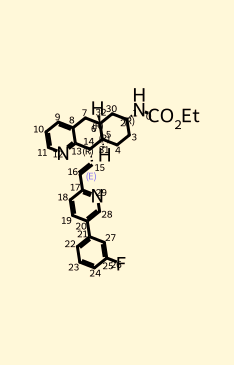 CCOC(=O)N[C@@H]1CC[C@@H]2[C@H](Cc3cccnc3[C@H]2/C=C/c2ccc(-c3cccc(F)c3)cn2)C1